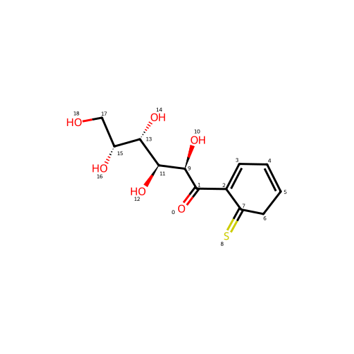 O=C(C1=CC=CCC1=S)[C@H](O)[C@@H](O)[C@@H](O)[C@H](O)CO